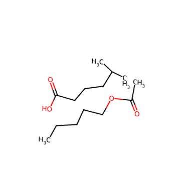 CC(C)CCCC(=O)O.CCCCCOC(C)=O